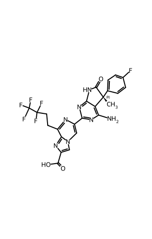 C[C@]1(c2ccc(F)cc2)C(=O)Nc2nc(-c3cn4cc(C(=O)O)nc4c(CCC(F)(F)C(F)(F)F)n3)nc(N)c21